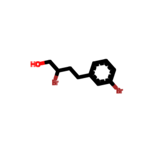 OCC(Br)CCc1cccc(Br)c1